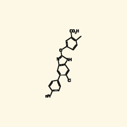 CCCc1ccc(-c2cc3nc(Oc4ccc(C)c(C(=O)O)c4)[nH]c3cc2Cl)cc1